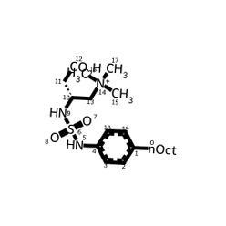 CCCCCCCCc1ccc(NS(=O)(=O)N[C@H](CC(=O)O)C[N+](C)(C)C)cc1